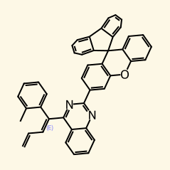 C=C/C=C(\c1ccccc1C)c1nc(-c2ccc3c(c2)Oc2ccccc2C32c3ccccc3-c3ccccc32)nc2ccccc12